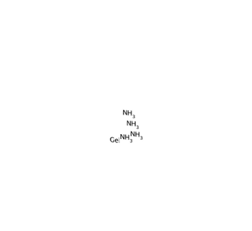 N.N.N.N.[Ge]